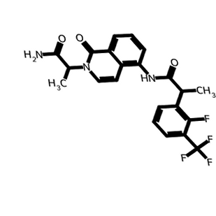 CC(C(=O)Nc1cccc2c(=O)n(C(C)C(N)=O)ccc12)c1cccc(C(F)(F)F)c1F